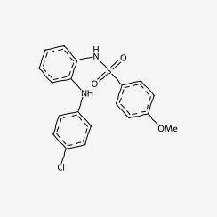 COc1ccc(S(=O)(=O)Nc2ccccc2Nc2ccc(Cl)cc2)cc1